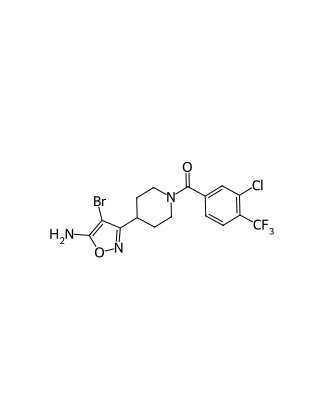 Nc1onc(C2CCN(C(=O)c3ccc(C(F)(F)F)c(Cl)c3)CC2)c1Br